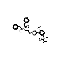 COc1ccc(NC(=O)C(C)C)cc1C1CCN(CCCN(C(=O)Cc2ccccc2)C(=O)Cc2ccccc2)CC1